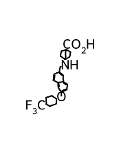 O=C(O)C12CCC(NCc3ccc4cc(O[C@H]5CC[C@@H](C(F)(F)F)CC5)ccc4c3)(CC1)CC2